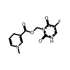 CN1C=CCC(C(=O)OCn2c(=O)[nH]cc(F)c2=O)=C1